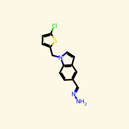 NN=Cc1ccc2c(ccn2Cc2ccc(Cl)s2)c1